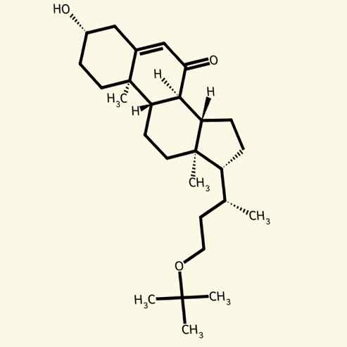 C[C@H](CCOC(C)(C)C)[C@H]1CC[C@H]2[C@@H]3C(=O)C=C4C[C@@H](O)CC[C@]4(C)[C@H]3CC[C@]12C